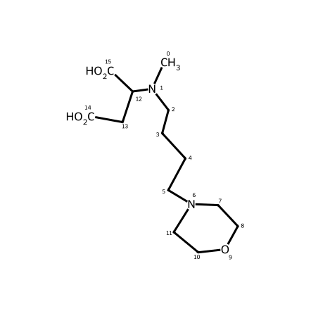 CN(CCCCN1CCOCC1)C(CC(=O)O)C(=O)O